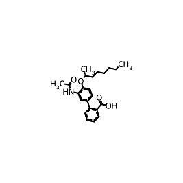 CCCCCC[C@H](C)Oc1ccc(-c2ccccc2C(=O)O)cc1NC(C)=O